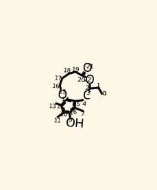 CCC1CCc2c(C)c(O)c(C)c(C)c2OCCCCC(=O)O1